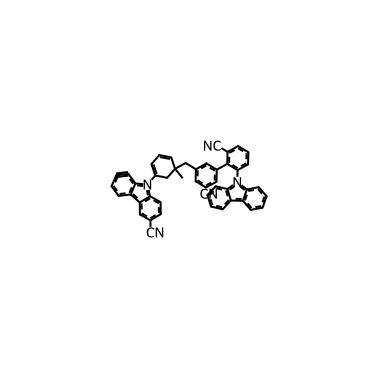 CC1(Cc2cc(C#N)cc(-c3c(C#N)cccc3-n3c4ccccc4c4ccccc43)c2)C=CC=C(n2c3c#cccc3c3cc(C#N)ccc32)C1